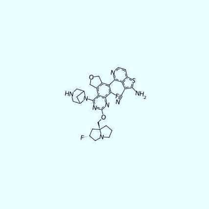 N#Cc1c(N)sc2ccnc(-c3c4c(c5c(N6C7CNCC6C7)nc(OC[C@@]67CCCN6C[C@H](F)C7)nc5c3F)COC4)c12